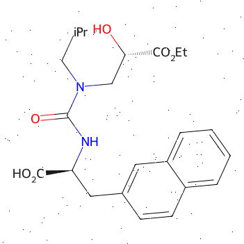 CCOC(=O)[C@@H](O)CN(CC(C)C)C(=O)N[C@@H](Cc1ccc2ccccc2c1)C(=O)O